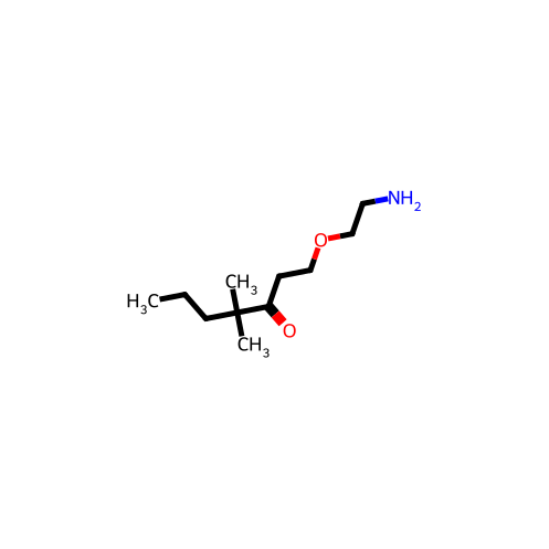 CCCC(C)(C)C(=O)CCOCCN